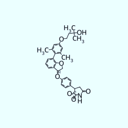 Cc1cc(OCCC(C)(C)O)cc(C)c1-c1cccc2c1OC[C@H]2Oc1ccc(C2CC(=O)NS2(=O)=O)cc1